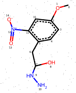 COc1ccc(CC(O)NN)c([N+](=O)[O-])c1